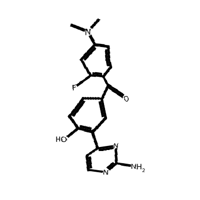 CN(C)c1ccc(C(=O)c2ccc(O)c(-c3ccnc(N)n3)c2)c(F)c1